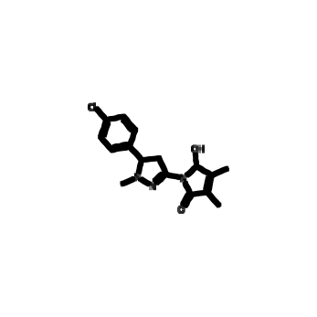 CC1=C(C)C(O)N(C2=NN(C)C(c3ccc(Cl)cc3)C2)C1=O